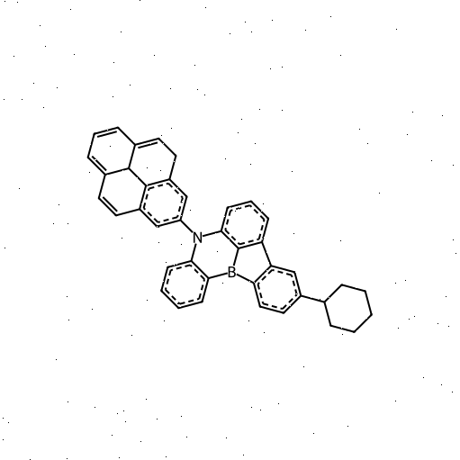 C1=CC2=CCc3cc(N4c5ccccc5B5c6ccc(C7CCCCC7)cc6-c6cccc4c65)cc4c3C2C(=C1)C=C4